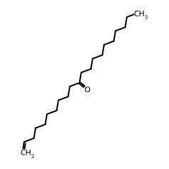 C=CCCCCCCCCC(=O)CCCCCCCCCC